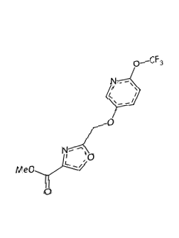 COC(=O)c1coc(COc2ccc(OC(F)(F)F)nc2)n1